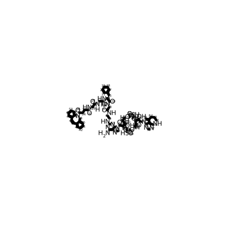 Nc1nc(NCCNC(=O)CNC(=O)[C@H](Cc2ccccc2)NC(=O)CNC(=O)CNC(=O)CCC(=O)N2Cc3ccccc3C#Cc3ccccc32)nc2c1ncn2[C@@H]1O[C@@H]2COP(=O)(S)O[C@H]3[C@@H](O)[C@H](n4cc5c6c(ncnc64)NCCC5)O[C@@H]3COP(=O)(S)O[C@@H]1[C@@H]2O